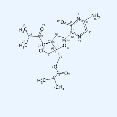 CC(C)C(=O)OC[C@@]1(CCl)O[C@@H](n2ncc(N)nc2=O)C[C@@H]1OC(=O)C(C)C